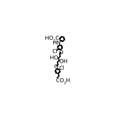 O=C(O)CCc1ccc(OCCC(O)C(O)CCOc2ccc(Nc3ccccc3C(=O)O)cc2Cl)c(Cl)c1